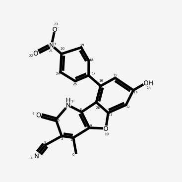 Cc1c(C#N)c(=O)[nH]c2c1oc1cc(O)cc(-c3ccc([N+](=O)[O-])cc3)c12